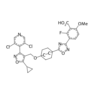 COc1ccc(-c2noc(C34CCC(OCc5c(-c6c(Cl)cncc6Cl)noc5C5CC5)(CC3)CC4)n2)c(F)c1C(=O)O